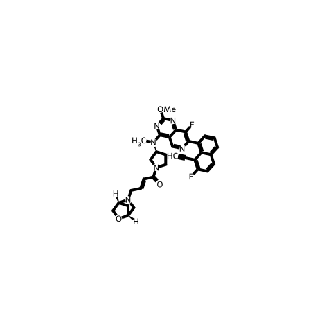 C#Cc1c(F)ccc2cccc(-c3ncc4c(N(C)[C@@H]5CCN(C(=O)/C=C/CN6C[C@H]7C[C@@H]6CO7)C5)nc(OC)nc4c3F)c12